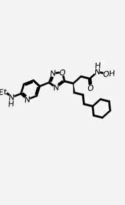 CCNc1ccc(-c2noc([C@H](CCCC3CCCCC3)CC(=O)NO)n2)cn1